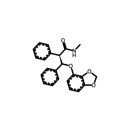 CNC(=O)[C@H](c1ccccc1)C(Oc1cccc2c1OCO2)c1ccccc1